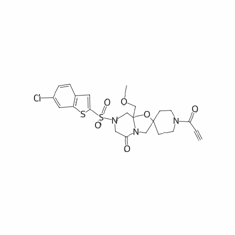 C#CC(=O)N1CCC2(CC1)CN1C(=O)CN(S(=O)(=O)c3cc4ccc(Cl)cc4s3)CC1(COC)O2